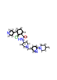 CC1CCN(c2ccc(CN3CCC(NC(=O)c4cccc(-c5ccncc5)c4Cl)CC3)cn2)CC1